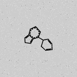 C1=CCC(c2cccc3c2=CCC=3)C=C1